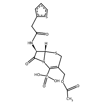 CC(=O)OCC1=C(P(=O)(O)O)N2C(=O)[C@@H](NC(=O)Cc3cccs3)[C@@H]2SC1